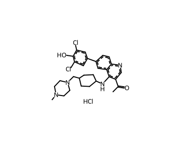 CC(=O)c1cnc2ccc(-c3cc(Cl)c(O)c(Cl)c3)cc2c1NC1CCC(CN2CCN(C)CC2)CC1.Cl